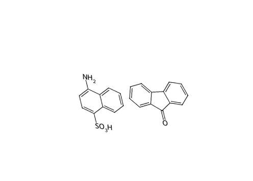 Nc1ccc(S(=O)(=O)O)c2ccccc12.O=C1c2ccccc2-c2ccccc21